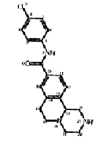 O=C(Nc1ccc(Cl)cc1)c1ccc2c(c1)CCN1CCNCC21